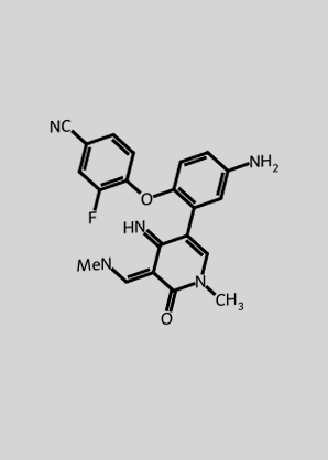 CN/C=C1\C(=N)C(c2cc(N)ccc2Oc2ccc(C#N)cc2F)=CN(C)C1=O